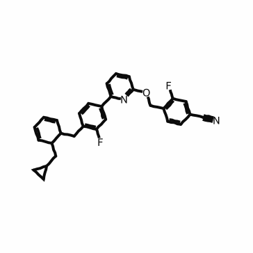 N#Cc1ccc(COc2cccc(-c3ccc(CC4C=CC=CC4CC4CC4)c(F)c3)n2)c(F)c1